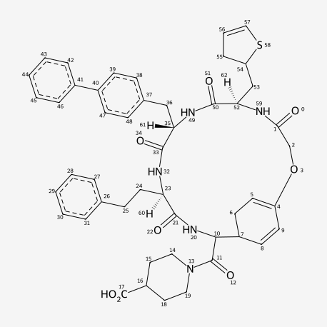 O=C1COC2=CCC(C=C2)C(C(=O)N2CCC(C(=O)O)CC2)NC(=O)[C@@H](CCc2ccccc2)NC(=O)[C@H](Cc2ccc(-c3ccccc3)cc2)NC(=O)[C@@H](CC2CC=CS2)N1